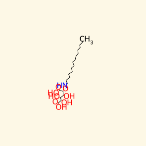 CCCCCCCCCCCCCCCCNO[C@@H](C(=O)O)[C@@H](O)[C@H](O)[C@H](O)C(=O)O